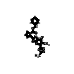 Cc1nnc(-c2nc3sc(C4CCCN4C(=O)OCc4ccccc4)nc3c(=O)n2C)o1